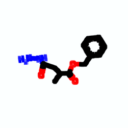 CC(CC(=O)NN)C(=O)OCc1ccccc1